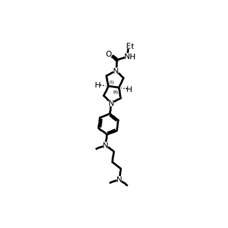 CCNC(=O)N1C[C@@H]2CN(c3ccc(N(C)CCCN(C)C)cc3)C[C@@H]2C1